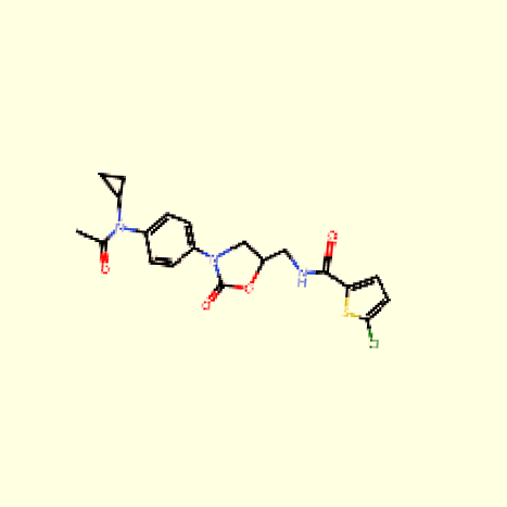 CC(=O)N(c1ccc(N2CC(CNC(=O)c3ccc(Cl)s3)OC2=O)cc1)C1CC1